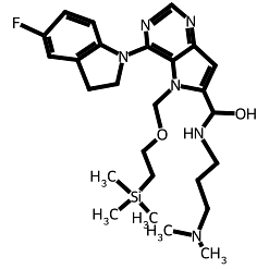 CN(C)CCCNC(O)c1cc2ncnc(N3CCc4cc(F)ccc43)c2n1COCC[Si](C)(C)C